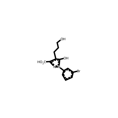 O=C(O)c1nn(-c2cccc(Br)c2)c(O)c1CCCO